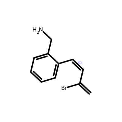 C=C(Br)/C=C\c1ccccc1CN